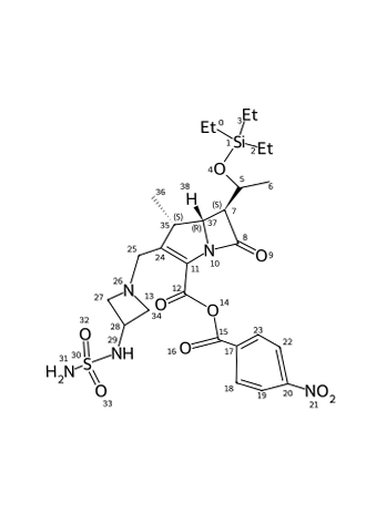 CC[Si](CC)(CC)OC(C)[C@H]1C(=O)N2C(C(=O)OC(=O)c3ccc([N+](=O)[O-])cc3)=C(CN3CC(NS(N)(=O)=O)C3)[C@H](C)[C@H]12